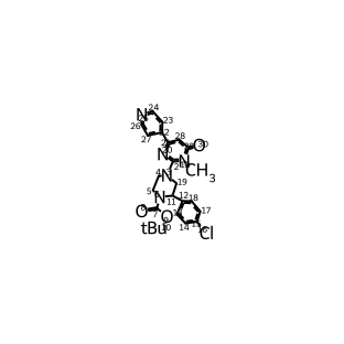 Cn1c(N2CCN(C(=O)OC(C)(C)C)C(c3ccc(Cl)cc3)C2)nc(-c2ccncc2)cc1=O